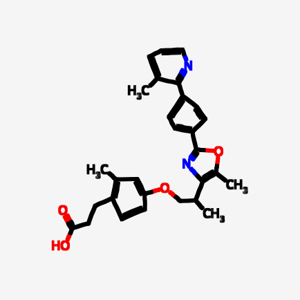 Cc1cc(OCC(C)c2nc(-c3ccc(-c4ncccc4C)cc3)oc2C)ccc1CCC(=O)O